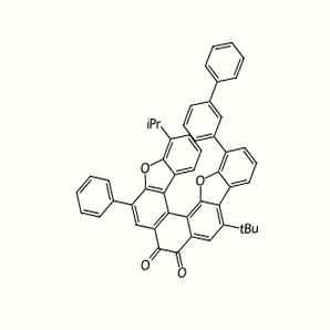 CC(C)c1cccc2c1oc1c(-c3ccccc3)cc3c(c12)-c1c(cc(C(C)(C)C)c2c1oc1c(-c4cccc(-c5ccccc5)c4)cccc12)C(=O)C3=O